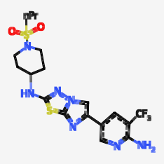 CCCS(=O)(=O)N1CCC(Nc2nn3cc(-c4cnc(N)c(C(F)(F)F)c4)nc3s2)CC1